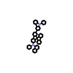 c1ccc(N(c2ccc3c(c2)C2(c4ccccc4-c4ccccc42)c2cc(-c4ccc5c(c4)c4ccccc4n5-c4ccccc4)ccc2-3)c2cccc3ccccc23)cc1